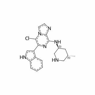 C[C@@H]1CNC[C@@H](Nc2nc(-c3c[nH]c4ccccc34)c(Cl)n3ccnc23)C1